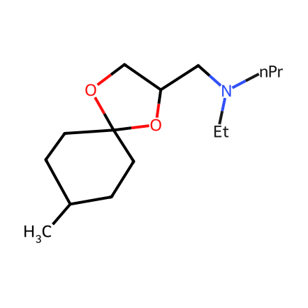 CCCN(CC)CC1COC2(CCC(C)CC2)O1